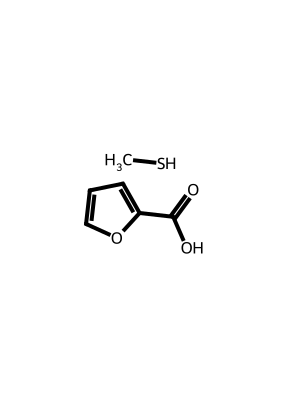 CS.O=C(O)c1ccco1